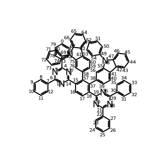 c1ccc(-c2nc(-c3ccccc3)nc(-c3ccc(-c4nc(-c5ccccc5)nc(-c5ccccc5)n4)c(-c4ccc5c6ccccc6n(-c6ccccc6)c5c4)c3-c3ccc4c5ccccc5n(-c5ccccc5)c4c3)n2)cc1